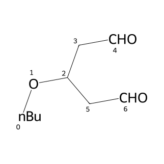 CCCCOC(CC=O)CC=O